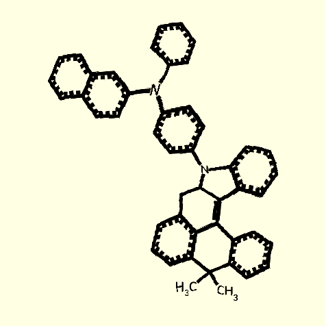 CC1(C)c2ccccc2C2=C3c4ccccc4N(c4ccc(N(c5ccccc5)c5ccc6ccccc6c5)cc4)C3Cc3cccc1c32